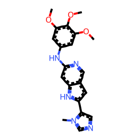 COc1cc(Nc2cc3[nH]c(-c4cncn4C)cc3cn2)cc(OC)c1OC